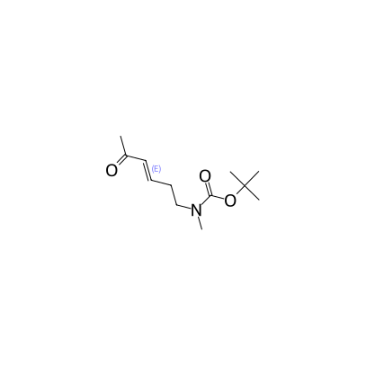 CC(=O)/C=C/CCN(C)C(=O)OC(C)(C)C